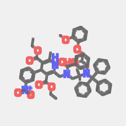 CCOC(=O)C1=C(C)NC(CN(CC(C)(C)N(CC(O)COc2ccccc2OC)C(c2ccccc2)(c2ccccc2)c2ccccc2)C(=O)c2ccccc2)=C(C(=O)OCC)C1c1cccc([N+](=O)[O-])c1